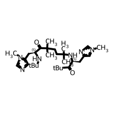 Cn1cnc(C[C@H](NC(C)(C)CCC(C)(C)C(=O)[C@H](Cc2cncn2C)NC(C)(C)C)C(=O)C(C)(C)C)c1